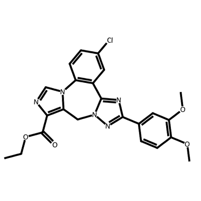 CCOC(=O)c1ncn2c1Cn1nc(-c3ccc(OC)c(OC)c3)nc1-c1cc(Cl)ccc1-2